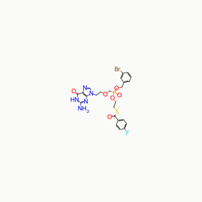 Nc1nc2c(ncn2CCOCP(=O)(OCCSC(=O)c2ccc(F)cc2)OCc2cccc(Br)c2)c(=O)[nH]1